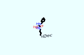 CCCCCCCCCCCCCCNC(=O)[C@H](CO)NCc1ccccc1